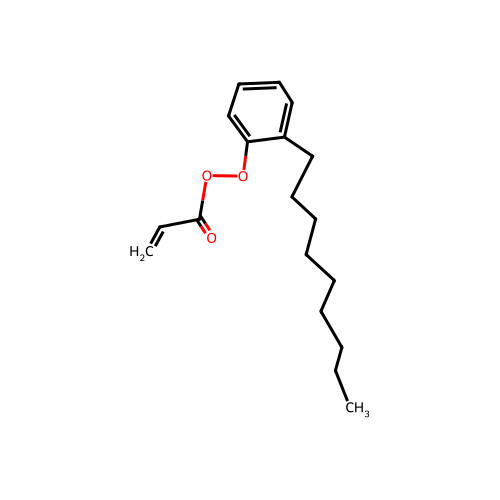 C=CC(=O)OOc1ccccc1CCCCCCCCC